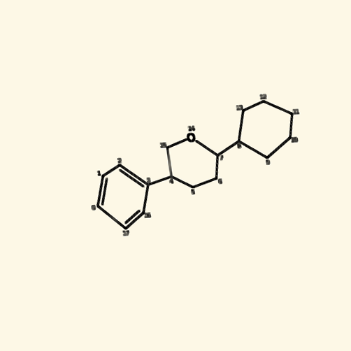 c1ccc(C2CCC(C3CCCCC3)OC2)cc1